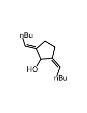 CCCCC=C1CCC(=CCCCC)C1O